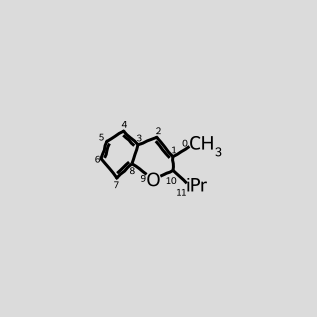 CC1=Cc2ccccc2OC1C(C)C